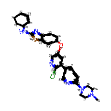 CN1CCN(c2ccc(-c3cc(Oc4ccc5nc(NC6CCCCC6)sc5c4)cnc3Cl)cn2)CC1